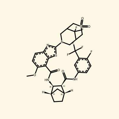 COc1ccc2nc(N3CC4CS(=O)(=O)CC(C3)C4(F)F)sc2c1C(=O)N[C@@H]1[C@H]2CC[C@H](C2)[C@@H]1C(=O)Nc1ccc(F)c(C(F)(F)F)c1